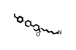 CCc1ccc([C@H]2CC[C@H]([C@H]3CC[C@](C=O)(CCC=CC=CC#N)CC3)CC2)cc1